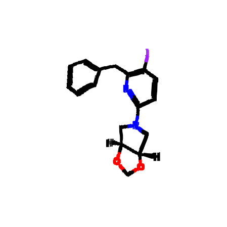 Ic1ccc(N2C[C@@H]3OCO[C@@H]3C2)nc1Cc1ccccc1